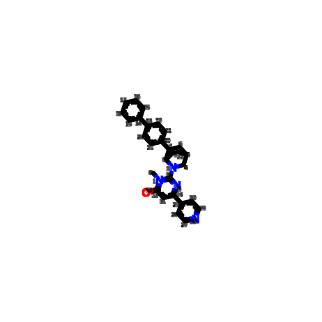 Cn1c(N2CC3CCC2C(c2ccc(-c4ccccc4)cc2)C3)nc(-c2ccncc2)cc1=O